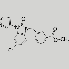 COC(=O)c1cccc(Cn2c(=O)n(-c3cccnc3)c3cc(Cl)ccc32)c1